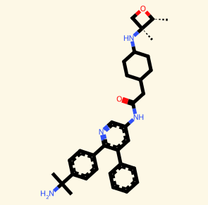 C[C@H]1OC[C@]1(C)NC1CCC(CC(=O)Nc2cnc(-c3ccc(C(C)(C)N)cc3)c(-c3ccccc3)c2)CC1